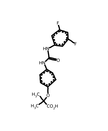 CC(C)(Oc1ccc(NC(=O)Nc2cc(F)cc(F)c2)cc1)C(=O)O